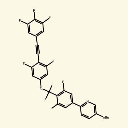 CCCCc1ccc(-c2cc(F)c(C(F)(F)Oc3cc(F)c(C#Cc4cc(F)c(F)c(F)c4)c(F)c3)c(F)c2)nc1